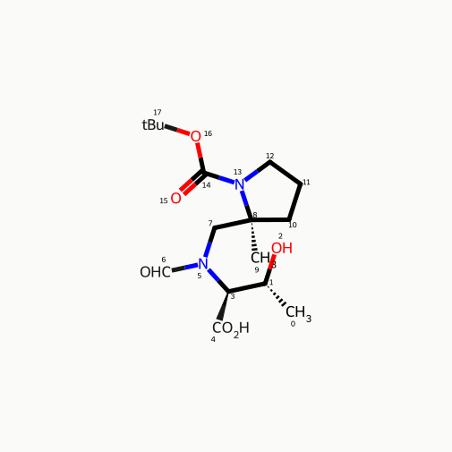 C[C@@H](O)[C@@H](C(=O)O)N(C=O)C[C@]1(C)CCCN1C(=O)OC(C)(C)C